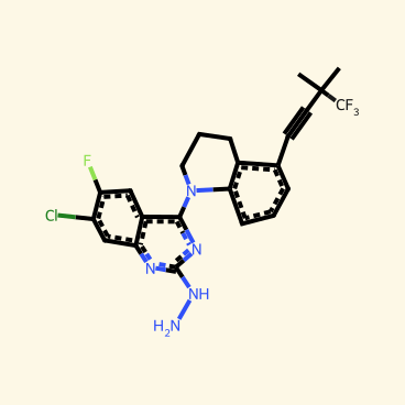 CC(C)(C#Cc1cccc2c1CCCN2c1nc(NN)nc2cc(Cl)c(F)cc12)C(F)(F)F